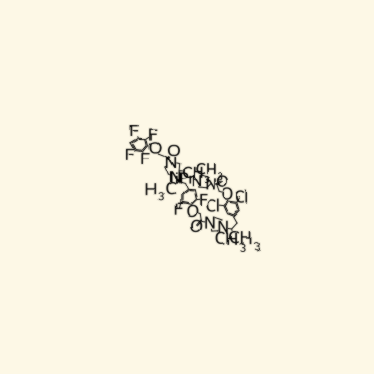 CC(C)N1CCN(C(=O)COc2c(Cl)cc(C[C@@H](C)N3CCN(C(=O)COc4c(F)cc(CC(C)N5CCN(C(=O)COc6c(F)c(F)cc(F)c6F)CC5C)cc4F)CC3C)cc2Cl)CC1C